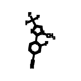 Cn1cc(C(F)(F)F)nc1-c1ccc(C#N)cc1F